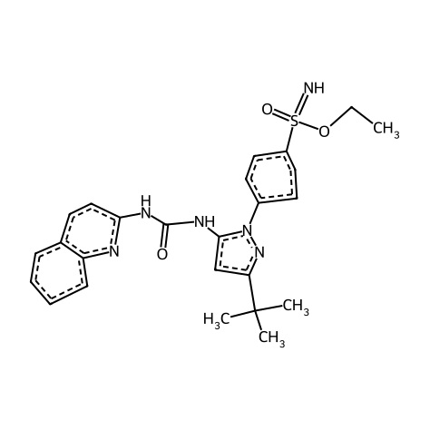 CCOS(=N)(=O)c1ccc(-n2nc(C(C)(C)C)cc2NC(=O)Nc2ccc3ccccc3n2)cc1